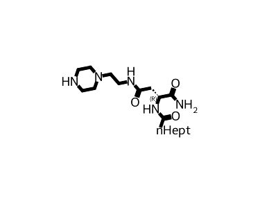 CCCCCCCC(=O)N[C@H](CC(=O)NCCN1CCNCC1)C(N)=O